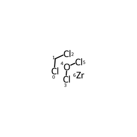 ClCCl.ClOCl.[Zr]